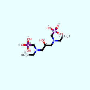 O=C(O)CN(CC(O)CN(CC(=O)O)CP(=O)(O)O)CP(=O)(O)O